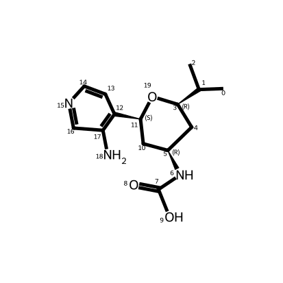 CC(C)[C@H]1C[C@@H](NC(=O)O)C[C@@H](c2ccncc2N)O1